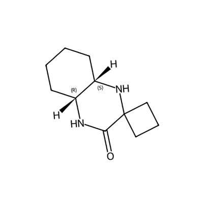 O=C1N[C@@H]2CCCC[C@@H]2NC12CCC2